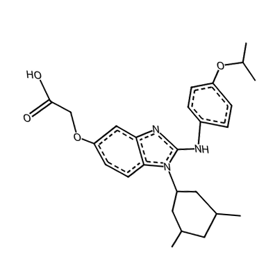 CC1CC(C)CC(n2c(Nc3ccc(OC(C)C)cc3)nc3cc(OCC(=O)O)ccc32)C1